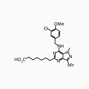 CCCc1nn(C)c2c(NCc3ccc(OC)c(Cl)c3)nc(CCCCCCC(=O)O)nc12